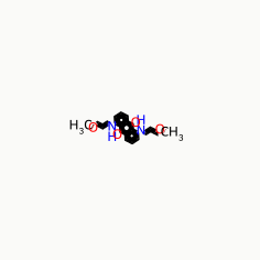 COCCCNc1cccc2c1C(=O)c1cccc(NCCCOC)c1C2=O